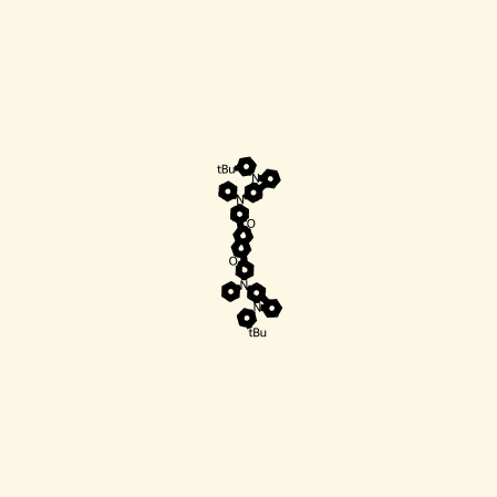 CC(C)(C)c1cccc(-n2c3ccccc3c3ccc(N(c4ccccc4)c4ccc5c(c4)oc4cc6cc7c(cc6cc45)oc4cc(N(c5ccccc5)c5ccc6c8ccccc8n(-c8cccc(C(C)(C)C)c8)c6c5)ccc47)cc32)c1